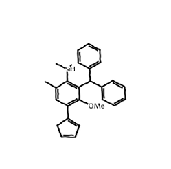 COc1c(C2=CC=CC2)cc(C)c([SiH](C)C)c1C(c1ccccc1)c1ccccc1